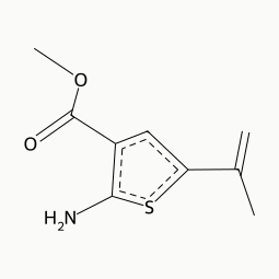 C=C(C)c1cc(C(=O)OC)c(N)s1